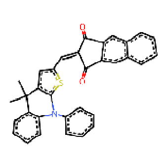 CC1(C)c2ccccc2N(c2ccccc2)c2sc(C=C3C(=O)c4cc5ccccc5cc4C3=O)cc21